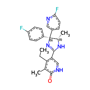 CCc1c(C2=N[C@@](c3ccc(F)cc3)(c3ccc(F)nc3)[C@H](C)N2)c[nH]c(=O)c1C